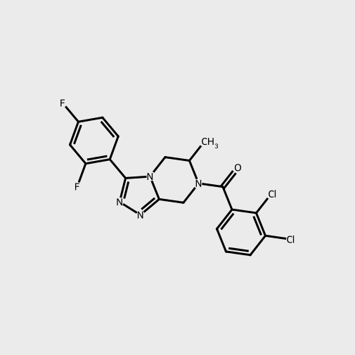 CC1Cn2c(nnc2-c2ccc(F)cc2F)CN1C(=O)c1cccc(Cl)c1Cl